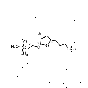 CCCCCCCCCCCCC[C@@H]1CC[C@@H](OCC[N+](C)(C)C)O1.[Br-]